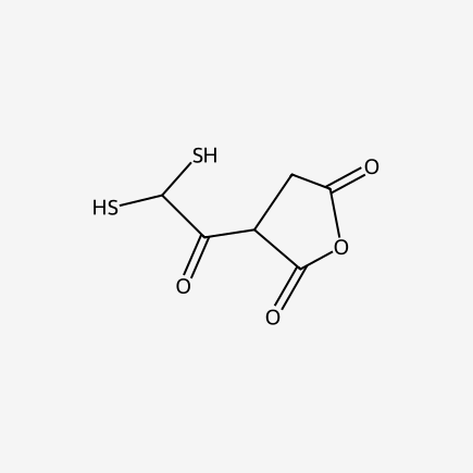 O=C1CC(C(=O)C(S)S)C(=O)O1